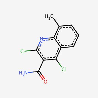 Cc1cccc2c(Cl)c(C(N)=O)c(Cl)nc12